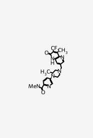 CNC(=O)c1ccc(N2CCN(Cc3cnc4c(C)c(C(F)(F)F)c(=O)[nH]c4c3)CC2C)cn1